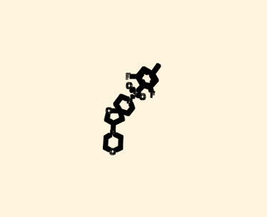 Cc1cc(F)c(S(=O)(=O)N2CCC3(CC2)CC(N2CCOCC2)CO3)c(F)c1